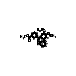 COC(=O)c1cccc(C2=N[C@@H]3CCCC[C@@H]3c3cc(OC)c(OC)cc32)c1